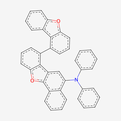 c1ccc(N(c2ccccc2)c2cc3c(oc4cccc(-c5cccc6oc7ccccc7c56)c43)c3ccccc23)cc1